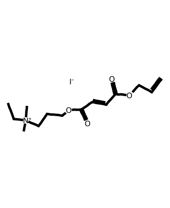 C=CCOC(=O)C=CC(=O)OCCC[N+](C)(C)CC.[I-]